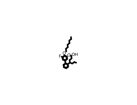 CCCCCCCCOc1ccc(-c2ccccc2C(CCC)CCC(=O)O)cc1F